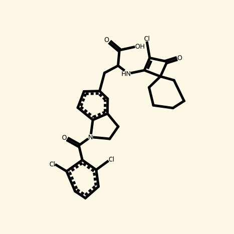 O=C(O)C(Cc1ccc2c(c1)CCN2C(=O)c1c(Cl)cccc1Cl)NC1=C(Cl)C(=O)C12CCCCC2